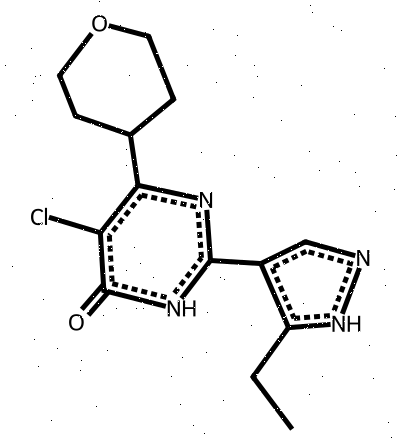 CCc1[nH]ncc1-c1nc(C2CCOCC2)c(Cl)c(=O)[nH]1